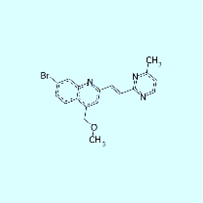 COCc1cc(C=Cc2nccc(C)n2)nc2cc(Br)ccc12